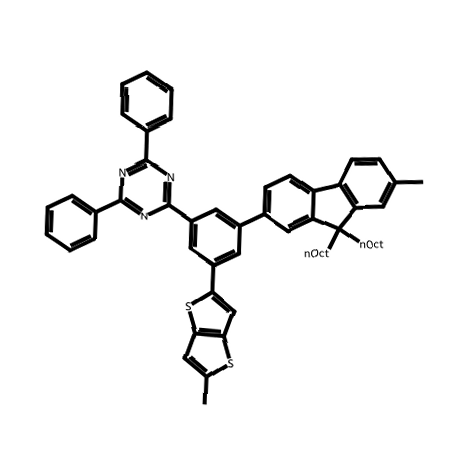 CCCCCCCCC1(CCCCCCCC)c2cc(C)ccc2-c2ccc(-c3cc(-c4nc(-c5ccccc5)nc(-c5ccccc5)n4)cc(-c4cc5sc(C)cc5s4)c3)cc21